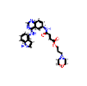 O=C(C=CC(=O)OCCCN1CCOCC1)Nc1ccc2ncnc(Nc3cccc4[nH]ccc34)c2c1